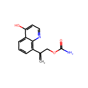 C=C(COC(N)=O)c1cccc2c(O)ccnc12